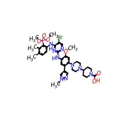 COc1cc(N2CCN(C3CCN(C(=O)O)CC3)CC2)c(-c2cnn(C)c2)cc1Nc1ncc(Br)c(Nc2ccc(C)c(C)c2P(=O)(OC)OC)n1